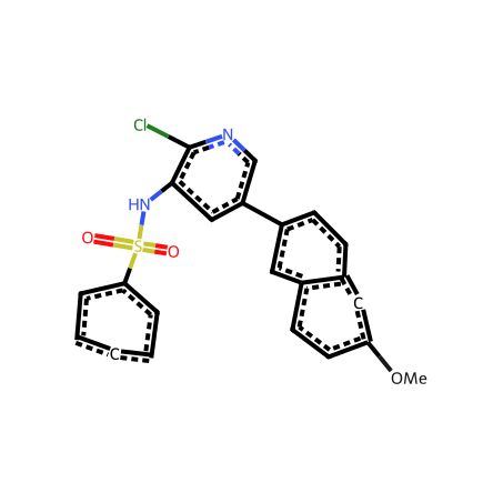 COc1ccc2cc(-c3cnc(Cl)c(NS(=O)(=O)c4ccccc4)c3)ccc2c1